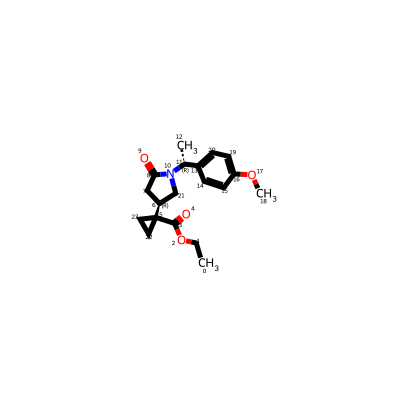 CCOC(=O)C1([C@H]2CC(=O)N([C@H](C)c3ccc(OC)cc3)C2)CC1